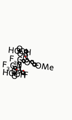 COc1ccc2cc(C(CCN(C)Cc3ccccc3)Oc3ccc(C(F)(F)F)cc3)ccc2c1.Fc1ccc(C(CCN2CCCC2)Oc2ccc(C(F)(F)F)cc2)cc1.O=C(O)C(=O)O.O=C(O)C(=O)O